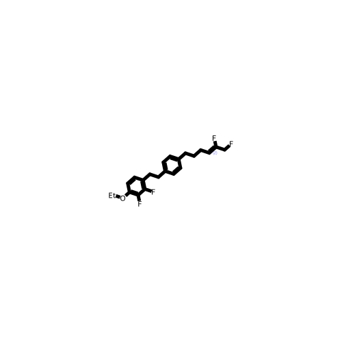 CCOc1ccc(CCc2ccc(CCC/C=C(\F)CF)cc2)c(F)c1F